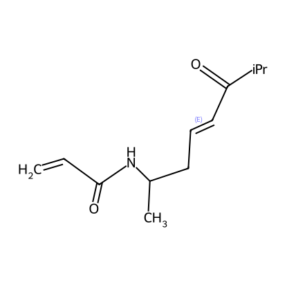 C=CC(=O)NC(C)C/C=C/C(=O)C(C)C